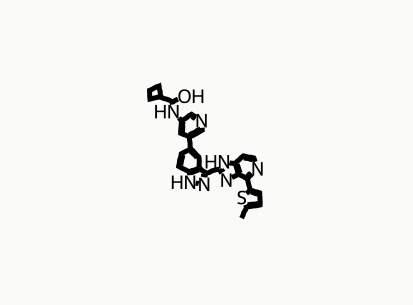 Cc1ccc(-c2nccc3[nH]c(-c4n[nH]c5ccc(-c6cncc(NC(O)C7CCC7)c6)cc45)nc23)s1